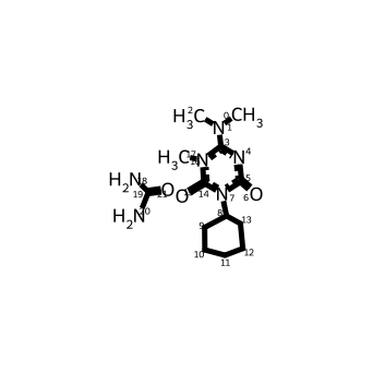 CN(C)c1nc(=O)n(C2CCCCC2)c(=O)n1C.NC(N)=O